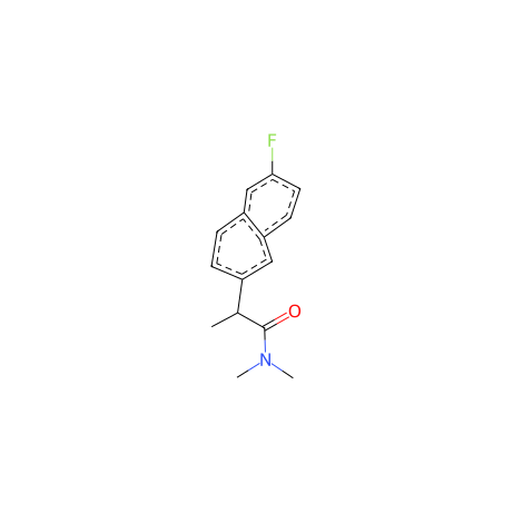 CC(C(=O)N(C)C)c1ccc2cc(F)ccc2c1